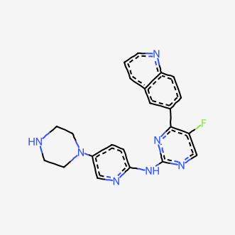 Fc1cnc(Nc2ccc(N3CCNCC3)cn2)nc1-c1ccc2ncccc2c1